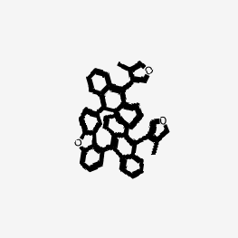 Cc1cocc1-c1c2ccccc2c(-c2ccc3oc4cccc(-c5c6ccccc6c(-c6cocc6C)c6ccccc56)c4c3c2)c2ccccc12